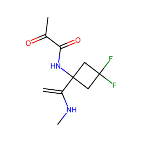 C=C(NC)C1(NC(=O)C(C)=O)CC(F)(F)C1